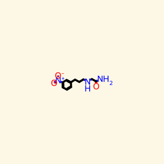 NC(=O)CNCCCc1cccc([N+](=O)[O-])c1